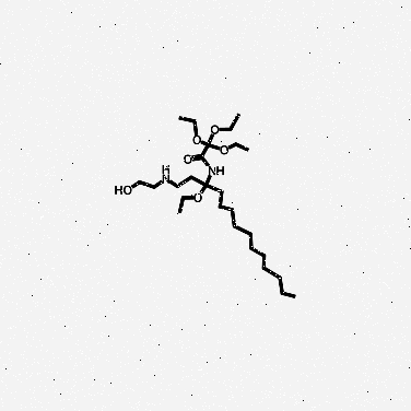 CCCCCCCCCCCC(CCNCCO)(NC(=O)C(OCC)(OCC)OCC)OCC